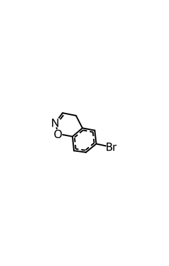 Brc1ccc2c(c1)CC=NO2